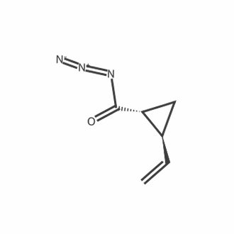 C=C[C@@H]1C[C@H]1C(=O)N=[N+]=[N-]